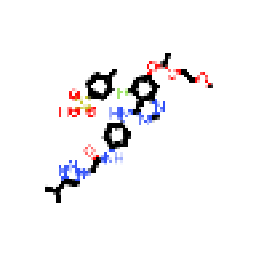 COCCOC(C)Oc1cc(F)c2c(Nc3ccc(NC(=O)Cn4cc(C(C)C)nn4)cc3)ncnc2c1.Cc1ccc(S(=O)(=O)O)cc1